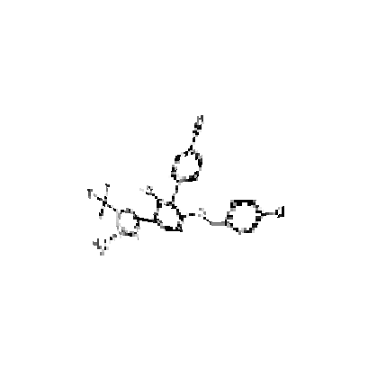 Cn1nc(-c2ccc(OCc3ccc(Cl)cc3)c(-c3ccc(C#N)cc3)c2O)cc1C(F)(F)F